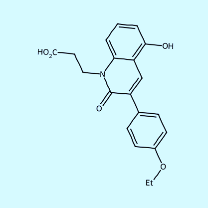 CCOc1ccc(-c2cc3c(O)cccc3n(CCC(=O)O)c2=O)cc1